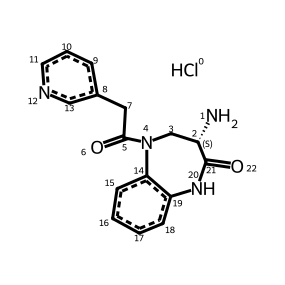 Cl.N[C@H]1CN(C(=O)Cc2cccnc2)c2ccccc2NC1=O